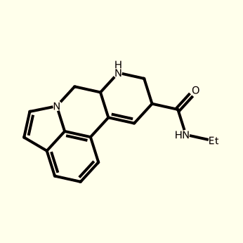 CCNC(=O)C1C=C2c3cccc4ccn(c34)CC2NC1